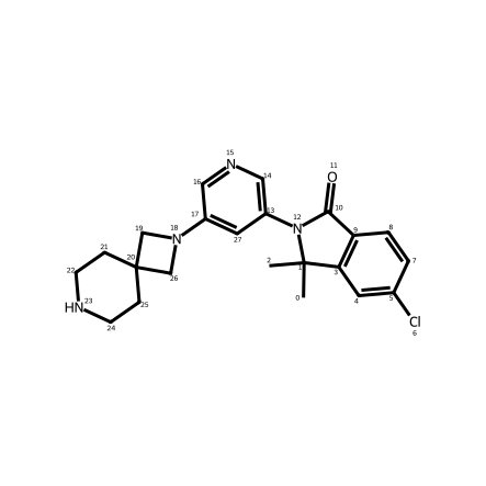 CC1(C)c2cc(Cl)ccc2C(=O)N1c1cncc(N2CC3(CCNCC3)C2)c1